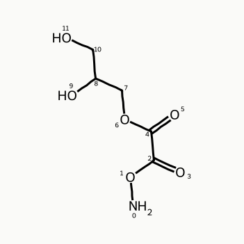 NOC(=O)C(=O)OCC(O)CO